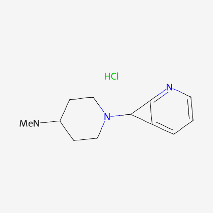 CNC1CCN(C2c3cccnc32)CC1.Cl